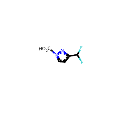 O=C(O)n1c[c]c(C(F)F)n1